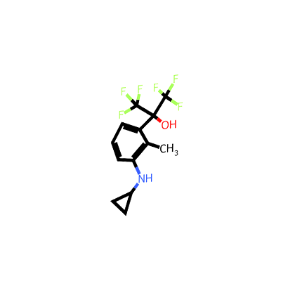 Cc1c(NC2CC2)cccc1C(O)(C(F)(F)F)C(F)(F)F